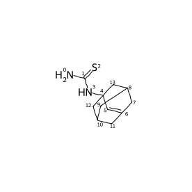 NC(=S)NC12C=C3CC(CC(C3)C1)C2